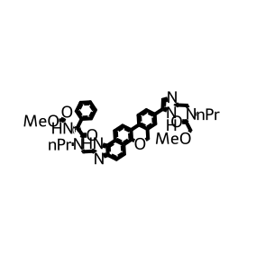 CCCN(Cc1ncc(-c2ccc3c(c2)COc2c-3ccc3c2ccc2nc(CN(CCC)C(=O)[C@H](NC(=O)OC)c4ccccc4)[nH]c23)[nH]1)C(=O)COC